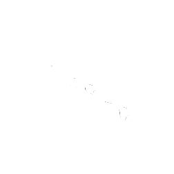 F/C(=C\Cc1ccccc1)Cc1ccc(-c2ccc(OCCN3CCOCC3)cc2)cn1